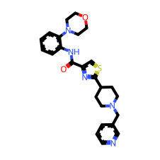 O=C(Nc1ccccc1N1CCOCC1)c1csc(C2CCN(Cc3cccnc3)CC2)n1